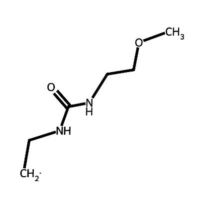 [CH2]CNC(=O)NCCOC